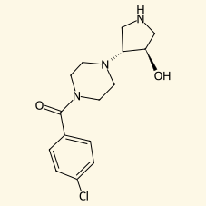 O=C(c1ccc(Cl)cc1)N1CCN([C@@H]2CNC[C@H]2O)CC1